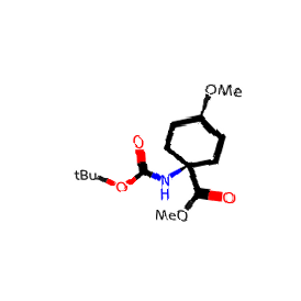 COC(=O)[C@]1(NC(=O)OC(C)(C)C)CC[C@@H](OC)CC1